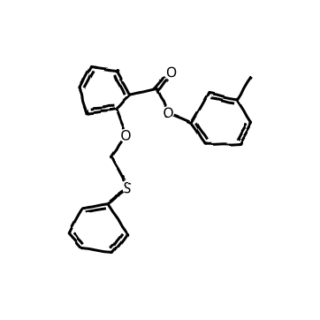 Cc1cccc(OC(=O)c2ccccc2OCSc2ccccc2)c1